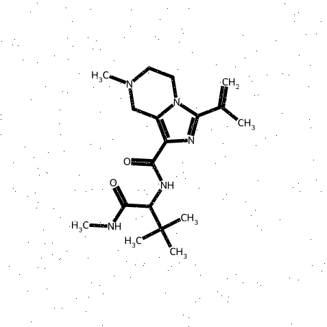 C=C(C)c1nc(C(=O)NC(C(=O)NC)C(C)(C)C)c2n1CCN(C)C2